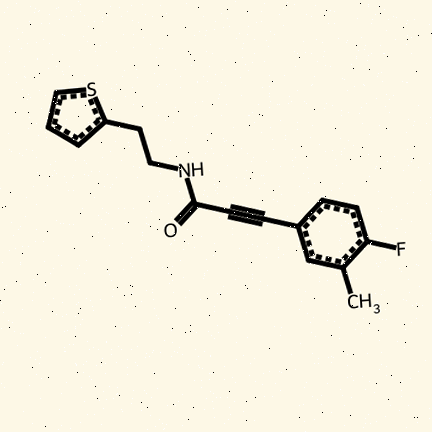 Cc1cc(C#CC(=O)NCCc2cccs2)ccc1F